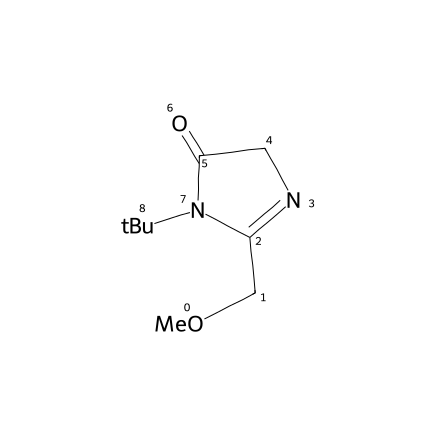 COCC1=NCC(=O)N1C(C)(C)C